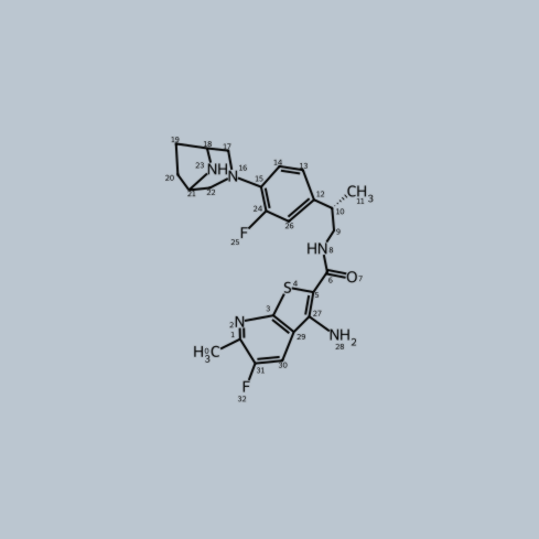 Cc1nc2sc(C(=O)NC[C@@H](C)c3ccc(N4CC5CCC(C4)N5)c(F)c3)c(N)c2cc1F